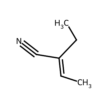 C/C=C(/C#N)CC